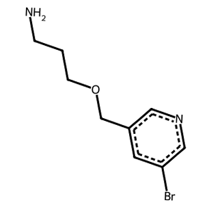 NCCCOCc1cncc(Br)c1